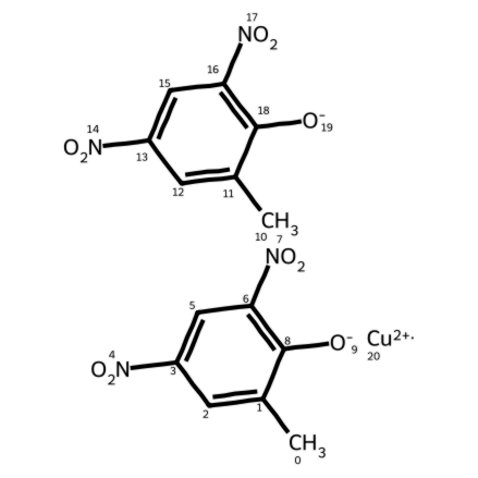 Cc1cc([N+](=O)[O-])cc([N+](=O)[O-])c1[O-].Cc1cc([N+](=O)[O-])cc([N+](=O)[O-])c1[O-].[Cu+2]